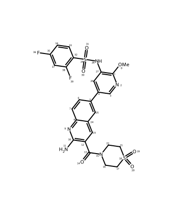 COc1ncc(-c2ccc3nc(N)c(C(=O)N4CCS(=O)(=O)CC4)cc3c2)cc1NS(=O)(=O)c1ccc(F)cc1F